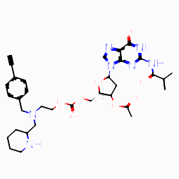 C#Cc1ccc(CN(CCOC(=O)OC[C@H]2O[C@@H](n3cnc4c(=O)[nH]c(NC(=O)C(C)C)nc43)CC2OC(C)=O)CC2CCCCN2)cc1